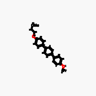 CCCOc1ccc(-c2ccc(-c3ccc(OCCOC)cc3)cc2)cc1